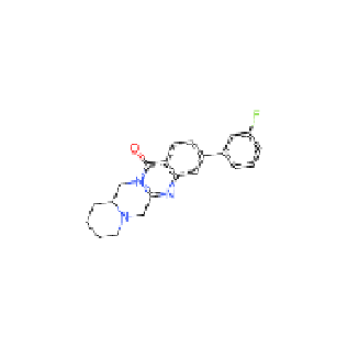 O=c1c2ccc(-c3cccc(F)c3)cc2nc2n1CC1CCCCN1C2